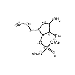 BC1OC(COCCCC)C(OP(=O)(CCCCC)OC)C1F